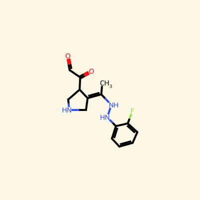 CC(NNc1ccccc1F)=C1CNCC1C(=O)C=O